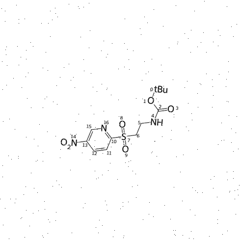 CC(C)(C)OC(=O)NCCS(=O)(=O)c1ccc([N+](=O)[O-])cn1